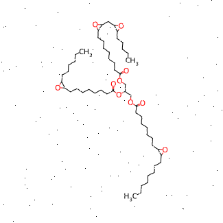 CCCCCCCCC1OC1CCCCCCCC(=O)OCC(COC(=O)CCCCCCCC1OC1CC1OC1CCCCC)OC(=O)CCCCCCCC1OC1CCCCCC